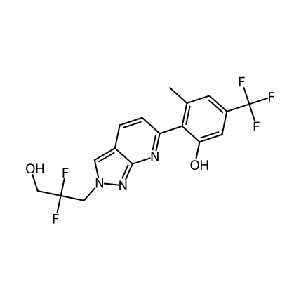 Cc1cc(C(F)(F)F)cc(O)c1-c1ccc2cn(CC(F)(F)CO)nc2n1